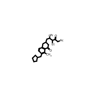 CCCC(CC1CC(=O)c2c(ccc(CC3CCCC3)c2C)C1)C(CC)C(=O)CC(C)=O